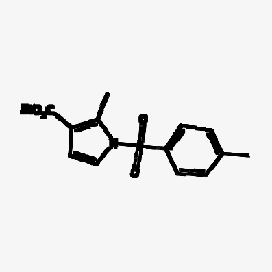 CCOC(=O)c1ccn(S(=O)(=O)c2ccc(C)cc2)c1C